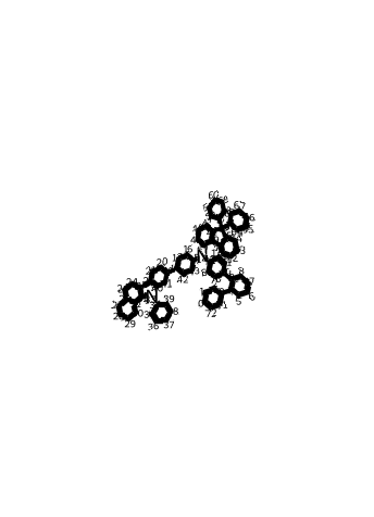 c1ccc(-c2ccccc2-c2ccc(N(c3ccc(-c4ccc5c6ccc7ccccc7c6n(-c6ccccc6)c5c4)cc3)c3cccc4c3-c3ccccc3C4(c3ccccc3)c3ccccc3)cc2)cc1